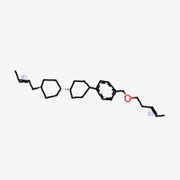 C/C=C/CCOCc1ccc(C2CCC([C@H]3CC[C@H](C/C=C/C)CC3)CC2)cc1